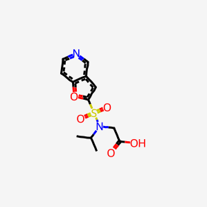 CC(C)N(CC(=O)O)S(=O)(=O)c1cc2cnccc2o1